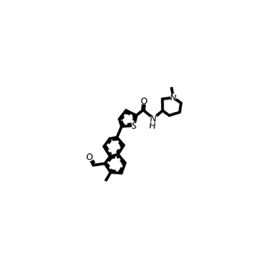 Cc1ccc2cc(-c3ccc(C(=O)NC4CCCN(C)C4)s3)ccc2c1C=O